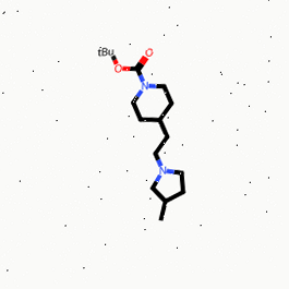 CC1CCN(CCC2CCN(C(=O)OC(C)(C)C)CC2)C1